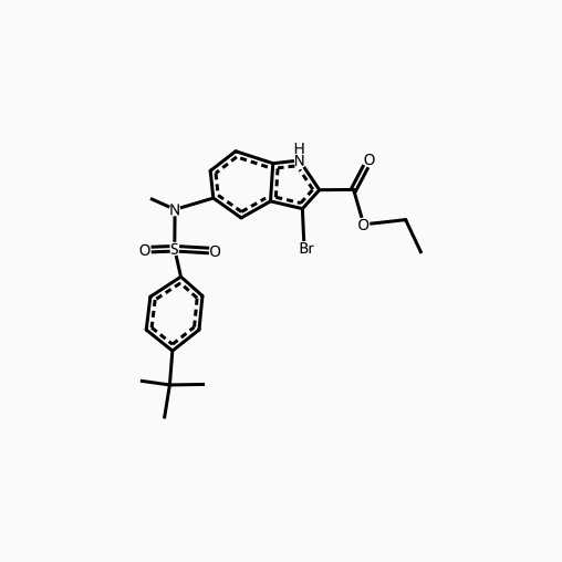 CCOC(=O)c1[nH]c2ccc(N(C)S(=O)(=O)c3ccc(C(C)(C)C)cc3)cc2c1Br